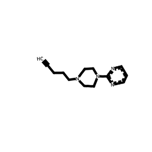 C#CCCCN1CCN(c2ncccn2)CC1